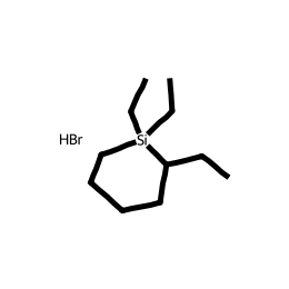 Br.CCC1CCCC[Si]1(CC)CC